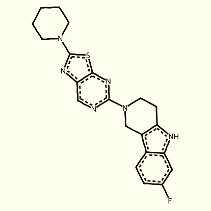 Fc1ccc2c3c([nH]c2c1)CCN(c1ncc2nc(N4CCCCC4)sc2n1)C3